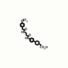 O=C(O)CC1CCC(c2ccc(NC(=O)CCNC(=O)Cc3ccc(OC(F)(F)F)cc3)cc2)CC1